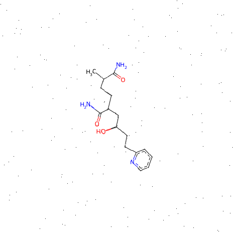 CC(CCC(CC(O)[CH]Cc1ccccn1)C(N)=O)C(N)=O